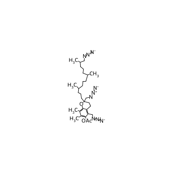 CC(=O)Oc1c(C)c(C)c2c(c1CN=[N+]=[N-])CCC(CCCC(C)CCCC(C)CCCC(C)CN=[N+]=[N-])(CN=[N+]=[N-])O2